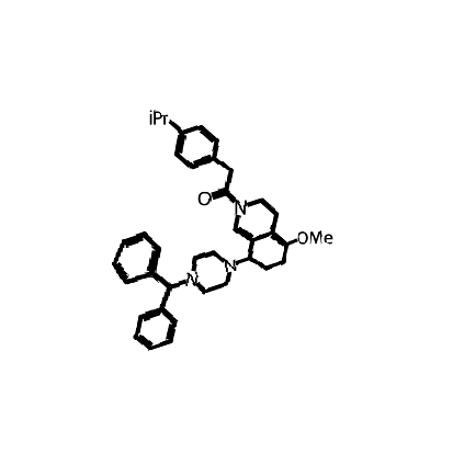 COC1=C2CCN(C(=O)Cc3ccc(C(C)C)cc3)C=C2C(N2CCN(C(c3ccccc3)c3ccccc3)CC2)CC1